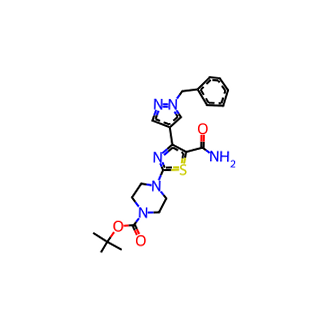 CC(C)(C)OC(=O)N1CCN(c2nc(-c3cnn(Cc4ccccc4)c3)c(C(N)=O)s2)CC1